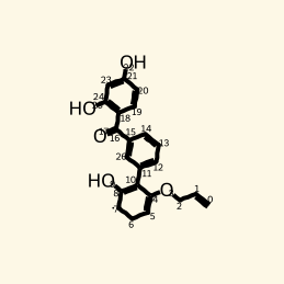 C=CCOC1=CC[CH]C(O)=C1c1cccc(C(=O)c2ccc(O)cc2O)c1